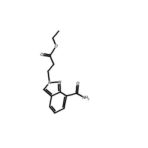 CCOC(=O)CCn1cc2cccc(C(N)=O)c2n1